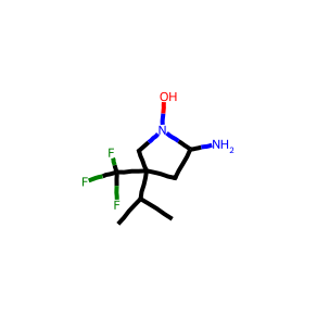 CC(C)C1(C(F)(F)F)CC(N)N(O)C1